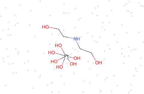 OCCNCCO.[OH][Pt]([OH])([OH])([OH])([OH])[OH]